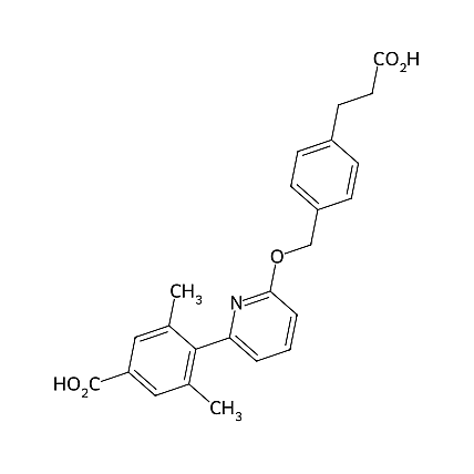 Cc1cc(C(=O)O)cc(C)c1-c1cccc(OCc2ccc(CCC(=O)O)cc2)n1